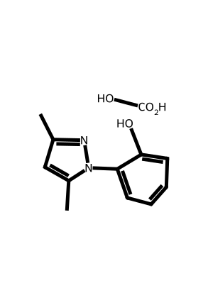 Cc1cc(C)n(-c2ccccc2O)n1.O=C(O)O